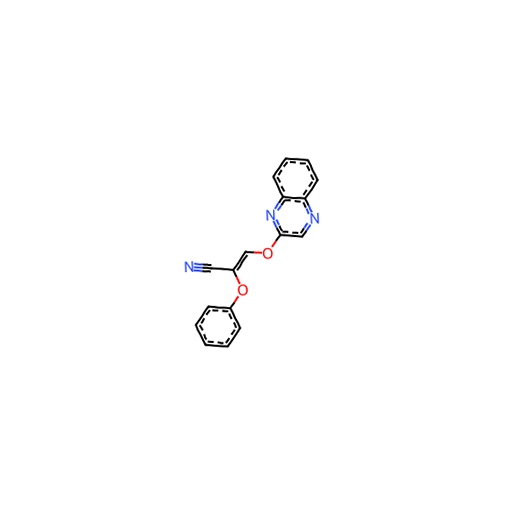 N#CC(=COc1cnc2ccccc2n1)Oc1ccccc1